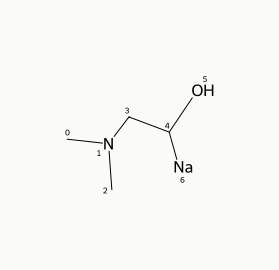 CN(C)C[CH](O)[Na]